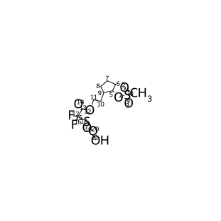 CS(=O)(=O)OC1CCCC1CCOC(=O)C(F)(F)SOOO